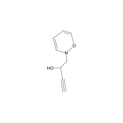 C#CC(O)CN1C=CC=CO1